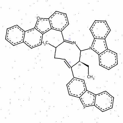 CC[C@H]1/C(c2ccc3sc4ccccc4c3c2)=C/CC(C)/C(c2cccc3oc4c5ccccc5ccc4c23)=N\C1n1c2ccccc2c2ccccc21